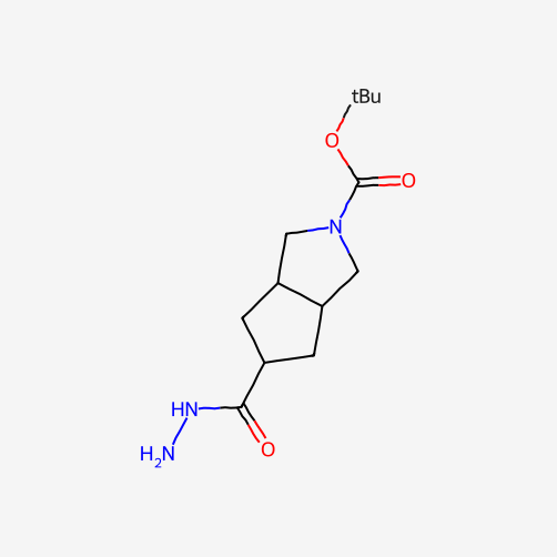 CC(C)(C)OC(=O)N1CC2CC(C(=O)NN)CC2C1